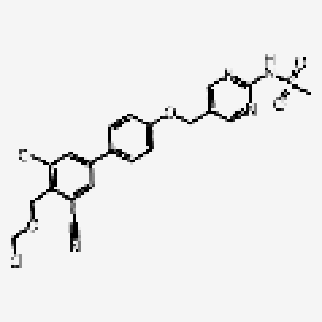 CS(=O)(=O)Nc1ncc(COc2ccc(-c3cc(Cl)c(COCCl)c(C#N)c3)cc2)cn1